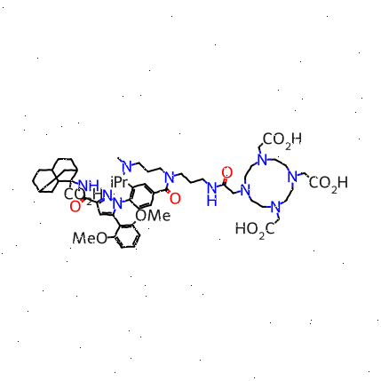 COc1cccc(OC)c1-c1cc(C(=O)NC2(C(=O)O)C3CCC4CCC(C3)CC42)nn1-c1ccc(C(=O)N(CCCNC(=O)CN2CCN(CC(=O)O)CCN(CC(=O)O)CCN(CC(=O)O)CC2)CCCN(C)C)cc1C(C)C